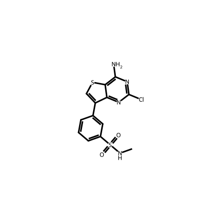 CNS(=O)(=O)c1cccc(-c2csc3c(N)nc(Cl)nc23)c1